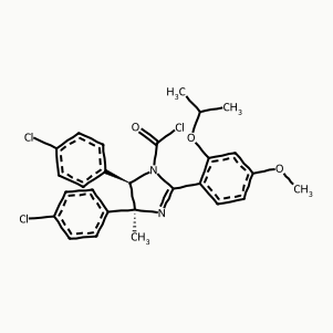 COc1ccc(C2=N[C@@](C)(c3ccc(Cl)cc3)[C@@H](c3ccc(Cl)cc3)N2C(=O)Cl)c(OC(C)C)c1